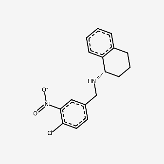 O=[N+]([O-])c1cc(CN[C@H]2CCCc3ccccc32)ccc1Cl